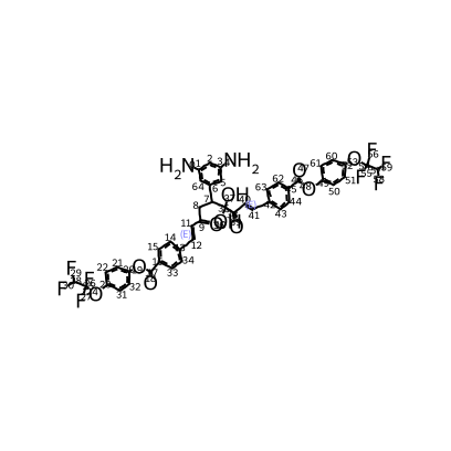 Nc1cc(N)cc(C(CC(=O)/C=C/c2ccc(C(=O)Oc3ccc(OC(F)(F)C(F)F)cc3)cc2)C(O)(O)C(=O)/C=C/c2ccc(C(=O)Oc3ccc(OC(F)(F)C(F)F)cc3)cc2)c1